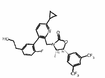 C[C@H]1[C@@H](c2cc(C(F)(F)F)cc(C(F)(F)F)c2)OC(=O)N1Cc1nc(C2CC2)ccc1-c1cc(CCO)ccc1F